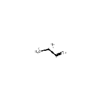 CCC=O.[2H]